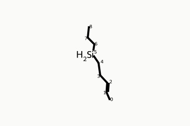 C/C=C/CC[SiH2]CCC